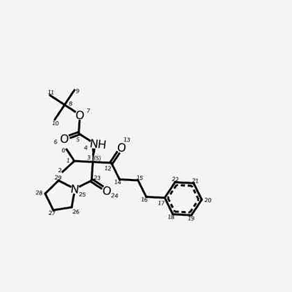 CC(C)[C@](NC(=O)OC(C)(C)C)(C(=O)CCCc1ccccc1)C(=O)N1CCCC1